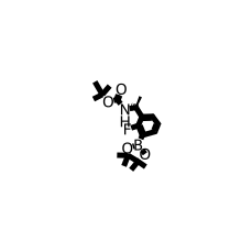 C[C@H](NC(=O)OC(C)(C)C)c1cccc(B2OC(C)(C)C(C)(C)O2)c1F